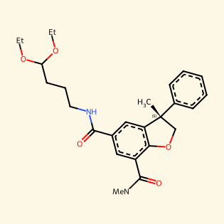 CCOC(CCCNC(=O)c1cc(C(=O)NC)c2c(c1)[C@](C)(c1ccccc1)CO2)OCC